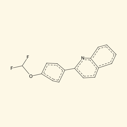 FC(F)Oc1ccc(-c2ccc3ccccc3n2)cc1